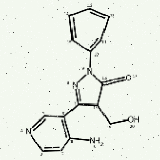 Nc1ccncc1C1=NN(c2ccccc2)C(=O)C1CO